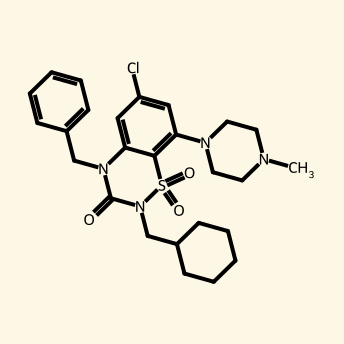 CN1CCN(c2cc(Cl)cc3c2S(=O)(=O)N(CC2CCCCC2)C(=O)N3Cc2ccccc2)CC1